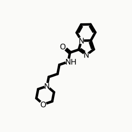 O=C(NCCCN1CCOCC1)c1ncc2ccccn12